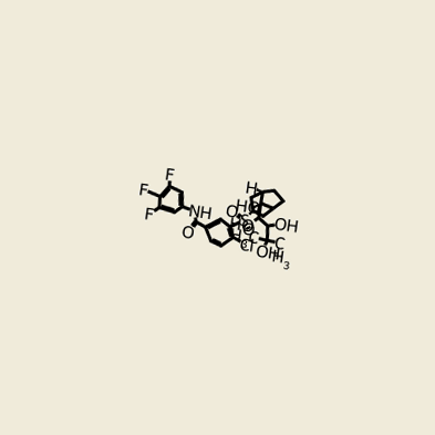 CC(C)(O)C(O)C(O)[C@@]1(O)C2CC[C@H]1C[C@H](S(=O)(=O)c1cc(C(=O)Nc3cc(F)c(F)c(F)c3)ccc1Cl)C2